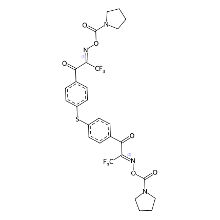 O=C(/C(=N/OC(=O)N1CCCC1)C(F)(F)F)c1ccc(Sc2ccc(C(=O)/C(=N/OC(=O)N3CCCC3)C(F)(F)F)cc2)cc1